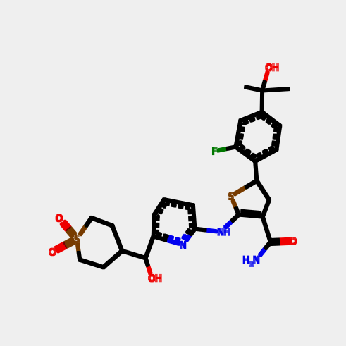 CC(C)(O)c1ccc(C2CC(C(N)=O)=C(Nc3cccc(C(O)C4CCS(=O)(=O)CC4)n3)S2)c(F)c1